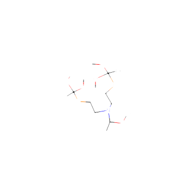 CCOC(C)N(CCPC(CC)(OCC)OCC)CCPC(CC)(OCC)OCC